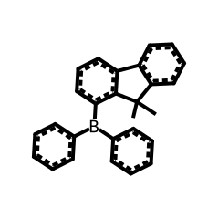 CC1(C)c2ccccc2-c2cccc(B(c3ccccc3)c3ccccc3)c21